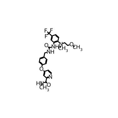 CNC(=O)c1cc(Oc2ccc(CNC(=O)Nc3cc(C(F)(F)F)ccc3N(C)CCOC)cc2)ccn1